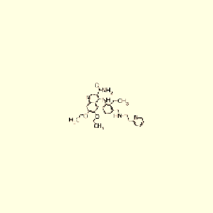 CCOc1cc2ncc(C(N)=O)c(Nc3cccc(CNCCc4ccccn4)c3CC)c2cc1OCC